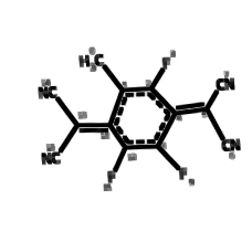 Cc1c(F)c(=C(C#N)C#N)c(F)c(F)c1=C(C#N)C#N